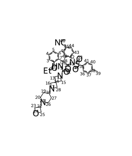 CCOc1ccccc1[C@]1(NC(=O)N2CC3(C2)CN(C2CCN(C4COC4)CC2)C3)C(=O)N(S(=O)(=O)c2ccc(C)cc2)c2ccc(C#N)cc21